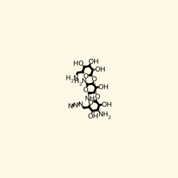 [N-]=[N+]=NCC1O[C@H](O[C@H]2C(O)[C@H](O[C@H]3OC(CN)[C@@H](O)C(O)[C@@H]3O)C(N)O[C@H]2N)C(O)[C@H](N)[C@@H]1O